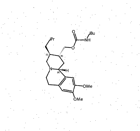 CCC(C)NC(=O)OC[C@@H]1C[C@@H]2c3cc(OC)c(OC)cc3CCN2C[C@H]1CC(C)C